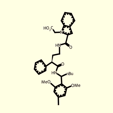 CCCCC(NC(=O)[C@H](CCNC(=O)c1cc2ccccc2n1CC(=O)O)c1ccccc1)c1c(OC)cc(C)cc1OC